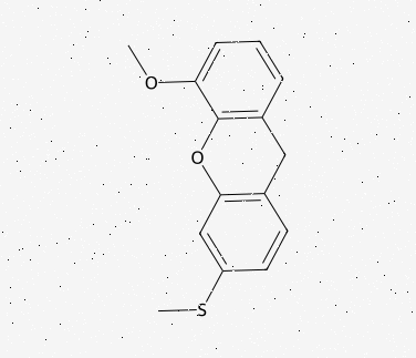 COc1cccc2c1Oc1cc(SC)ccc1C2